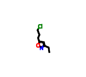 CCc1cc(CCCCl)on1